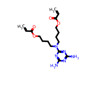 C=CC(=O)OCCCCN(CCCCOC(=O)C=C)c1nc(N)nc(N)n1